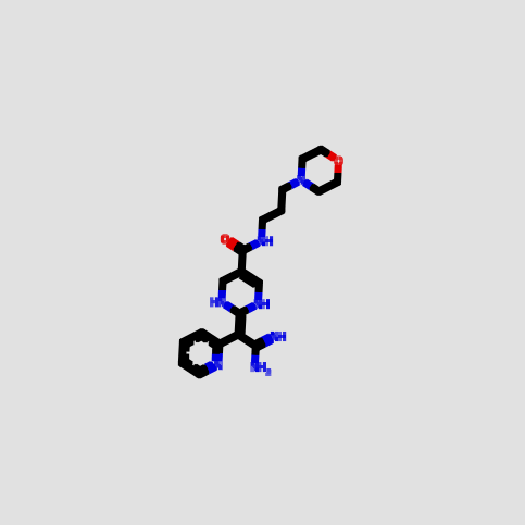 N=C(N)/C(=C1\NC=C(C(=O)NCCCN2CCOCC2)CN1)c1ccccn1